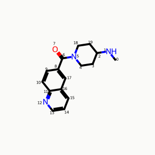 CNC1CCN(C(=O)c2ccc3ncccc3c2)CC1